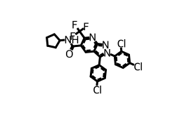 O=C(NC1CCCC1)c1cc2c(-c3ccc(Cl)cc3)n(-c3ccc(Cl)cc3Cl)nc2nc1C(F)(F)F